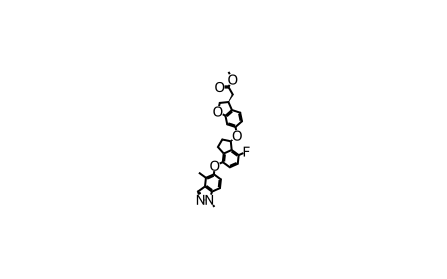 COC(=O)C[C@@H]1COc2cc(O[C@@H]3CCc4c(Oc5ccc6c(cnn6C)c5C)ccc(F)c43)ccc21